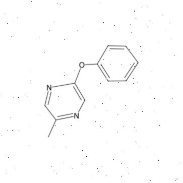 Cc1cnc(Oc2ccccc2)cn1